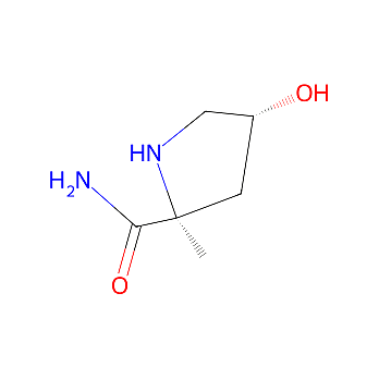 C[C@@]1(C(N)=O)C[C@@H](O)CN1